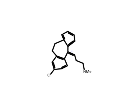 CNCC/C=C1/c2ccccc2CCc2cc(Cl)ccc21